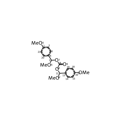 COc1ccc(C(OC)OC(=O)OC(OC)c2ccc(OC)cc2)cc1